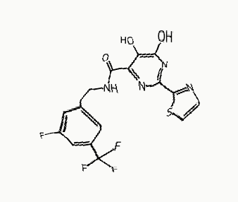 O=C(NCc1cc(F)cc(C(F)(F)F)c1)c1nc(-c2nccs2)nc(O)c1O